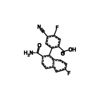 N#Cc1cc(-c2c(C(N)=O)ccc3cc(F)ccc23)c(C(=O)O)cc1F